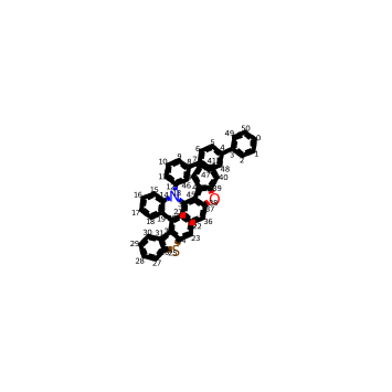 c1ccc(-c2ccc(-c3cccc(N(c4ccccc4-c4cccc5sc6ccccc6c45)c4cccc5oc6ccccc6c45)c3)cc2)cc1